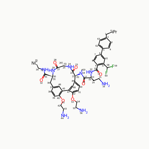 CC(C)Cc1ccc(-c2ccc(C(=O)N[C@@H](CCN)C(=O)N(C)[C@@H]3C(=O)N[C@@H](C)C(=O)N[C@H](C(=O)NCC#N)Cc4ccc(OCCN)c(c4)-c4cc3ccc4OCCN)c(C(F)F)c2)cc1